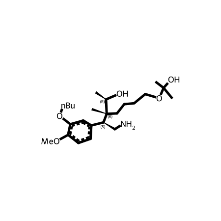 CCCCOc1cc([C@H](CN)[C@@](C)(CCCCOC(C)(C)O)[C@@H](C)O)ccc1OC